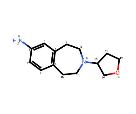 Nc1ccc2c(c1)CCN(C1CCOC1)CC2